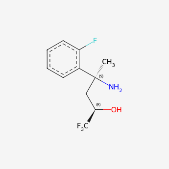 C[C@](N)(C[C@@H](O)C(F)(F)F)c1ccccc1F